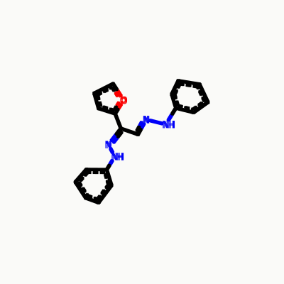 C(=N\Nc1ccccc1)/C(=N\Nc1ccccc1)c1ccco1